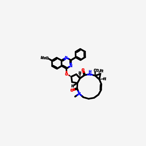 CCOC(=O)[C@@]12C[C@H]1/C=C\CCCCN(C)C(=O)[C@@H]1C[C@H](Oc3nc(-c4ccccc4)nc4cc(OC)ccc34)C[C@H]1C(=O)N2